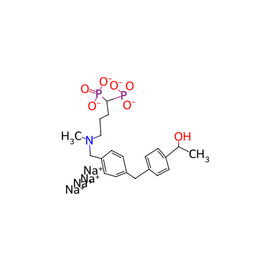 CC(O)c1ccc(Cc2ccc(CN(C)CCCC(P(=O)([O-])[O-])P(=O)([O-])[O-])cc2)cc1.[Na+].[Na+].[Na+].[Na+]